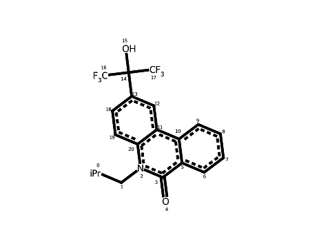 CC(C)Cn1c(=O)c2ccccc2c2cc(C(O)(C(F)(F)F)C(F)(F)F)ccc21